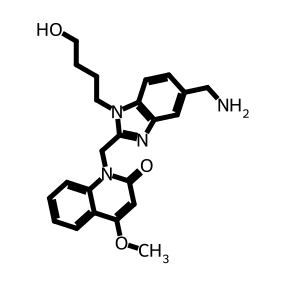 COc1cc(=O)n(Cc2nc3cc(CN)ccc3n2CCCCO)c2ccccc12